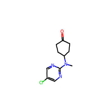 CN(c1ncc(Cl)cn1)C1CCC(=O)CC1